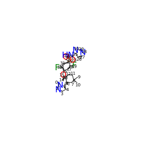 Cn1nccc1[C@H]1CC(C)(C)CC[C@@]1(C)Oc1cc(F)c(S(=O)(=O)Nc2ccncn2)cc1F